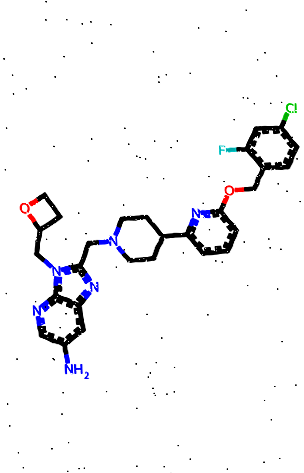 Nc1cnc2c(c1)nc(CN1CCC(c3cccc(OCc4ccc(Cl)cc4F)n3)CC1)n2CC1CCO1